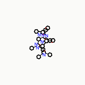 c1ccc(-c2ccc3c(c2)c2ccccc2n3-c2ccc(-c3cc(-c4ccccc4)nc(-c4ccccc4)n3)c(-n3c4ccc(-c5ccccc5)cc4c4cc(-c5cc(-c6ccccc6)nc(-c6ccccc6)c5)ccc43)c2-c2cc(-c3ccccc3)nc(-c3ccccc3)n2)cc1